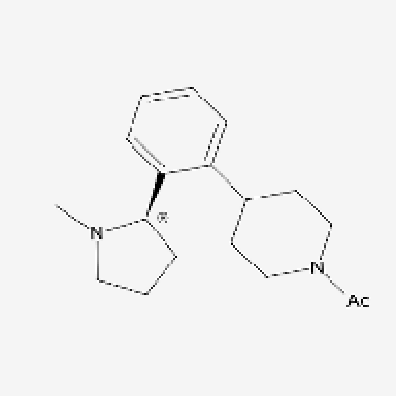 CC(=O)N1CCC(c2ccccc2[C@H]2CCCN2C)CC1